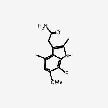 COc1cc(C)c2c(CC(N)=O)c(C)[nH]c2c1F